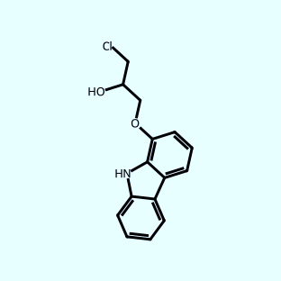 OC(CCl)COc1cccc2c1[nH]c1ccccc12